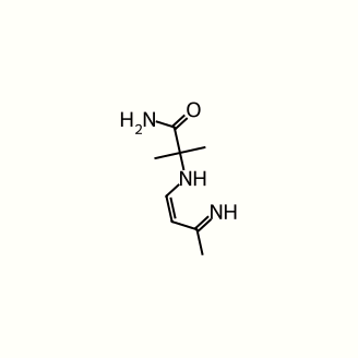 CC(=N)/C=C\NC(C)(C)C(N)=O